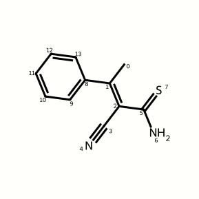 C/C(=C(/C#N)C(N)=S)c1ccccc1